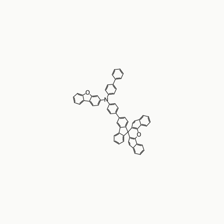 c1ccc(-c2ccc(N(c3ccc(-c4ccc5c(c4)-c4ccccc4C54c5ccc6ccccc6c5Oc5c4ccc4ccccc54)cc3)c3ccc4c(c3)oc3ccccc34)cc2)cc1